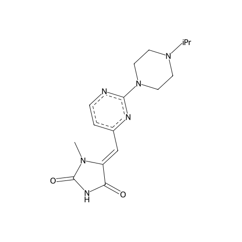 CC(C)N1CCN(c2nccc(C=C3C(=O)NC(=O)N3C)n2)CC1